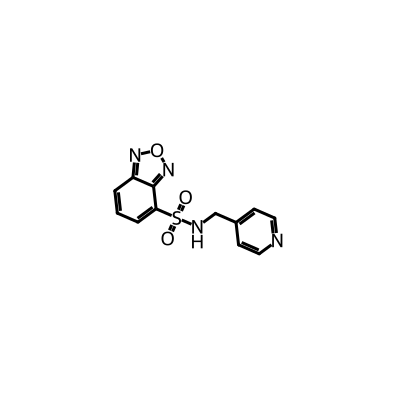 O=S(=O)(NCc1ccncc1)c1cccc2nonc12